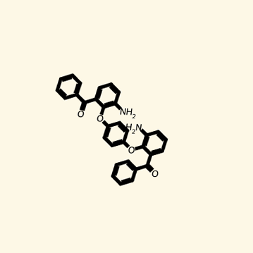 Nc1cccc(C(=O)c2ccccc2)c1Oc1ccc(Oc2c(N)cccc2C(=O)c2ccccc2)cc1